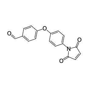 O=Cc1ccc(Oc2ccc(N3C(=O)C=CC3=O)cc2)cc1